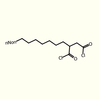 CCCCCCCCCCCCCCCCC(CC(=O)Cl)C(=O)Cl